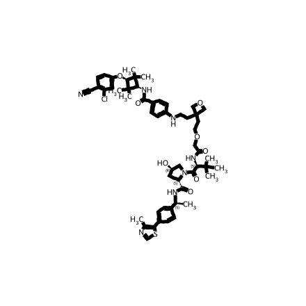 Cc1ncsc1-c1ccc([C@H](C)NC(=O)[C@@H]2C[C@@H](O)CN2C(=O)[C@@H](NC(=O)COCCC2(CCNc3ccc(C(=O)N[C@H]4C(C)(C)[C@H](Oc5ccc(C#N)c(Cl)c5)C4(C)C)cc3)COC2)C(C)(C)C)cc1